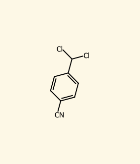 N#Cc1ccc(C(Cl)Cl)cc1